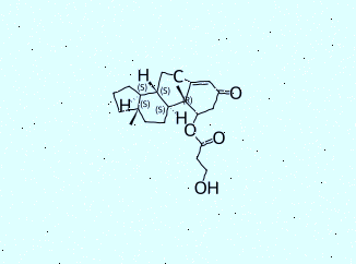 C[C@@]12CCC[C@H]1[C@@H]1CCC3=CC(=O)CC(OC(=O)CCO)[C@]3(C)[C@H]1CC2